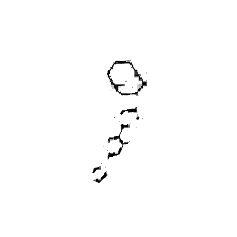 C[C@]12CCC[C@](C)(C[C@@H](Sc3cnc(-c4cnc(-n5ccnc5)cc4O)nn3)C1)N2